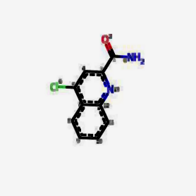 NC(=O)c1cc(Cl)c2ccccc2n1